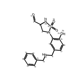 O=CC1CN(c2cc(CNCc3ccccc3)ccc2O)S(=O)(=O)N1